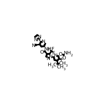 CC(C)(C)c1cc(-n2ncc(C(=O)Nc3cnc(-n4nccn4)c(C#N)c3)c2C(F)(F)F)nc(OC(N)=O)c1F